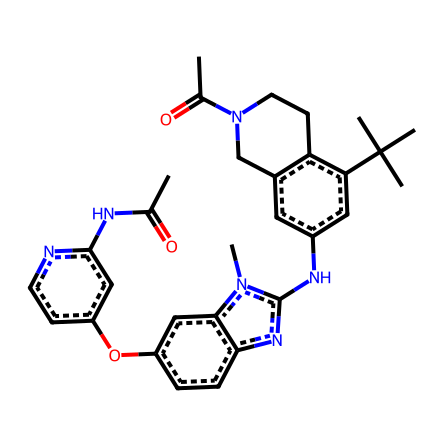 CC(=O)Nc1cc(Oc2ccc3nc(Nc4cc5c(c(C(C)(C)C)c4)CCN(C(C)=O)C5)n(C)c3c2)ccn1